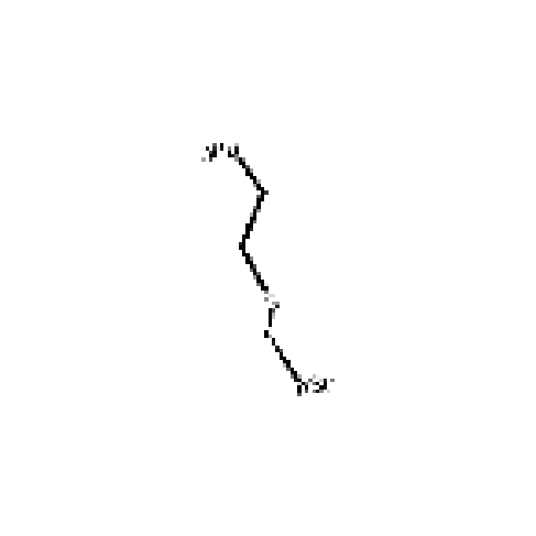 CCCCCCSSCCCC